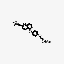 COCCOc1ccc(Oc2cccc3nc(C#C[Si](C)(C)C)ccc23)cc1